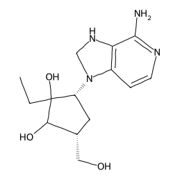 CCC1(O)C(O)[C@@H](CO)C[C@H]1N1CNc2c1ccnc2N